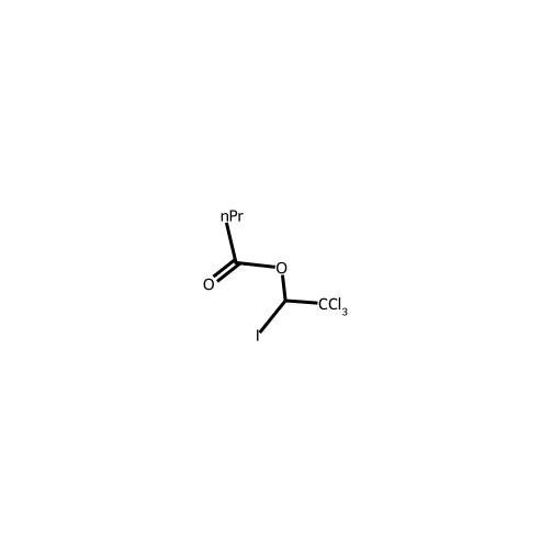 CCCC(=O)OC(I)C(Cl)(Cl)Cl